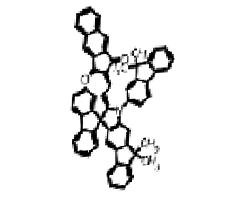 CC1(C)c2ccccc2-c2ccc(N3/C(=C\C=C4C(=O)c5cc6ccccc6cc5C4=O)C4(c5ccccc5-c5ccccc54)c4cc5c(cc43)C(C)(C)c3ccccc3-5)cc21